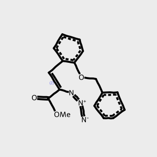 COC(=O)/C(=C/c1ccccc1OCc1ccccc1)N=[N+]=[N-]